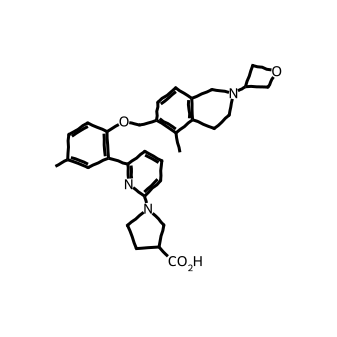 Cc1ccc(OCc2ccc3c(c2C)CCN(C2COC2)C3)c(-c2cccc(N3CCC(C(=O)O)C3)n2)c1